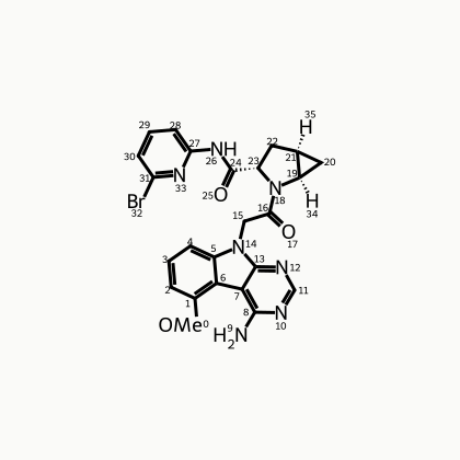 COc1cccc2c1c1c(N)ncnc1n2CC(=O)N1[C@@H]2C[C@@H]2C[C@H]1C(=O)Nc1cccc(Br)n1